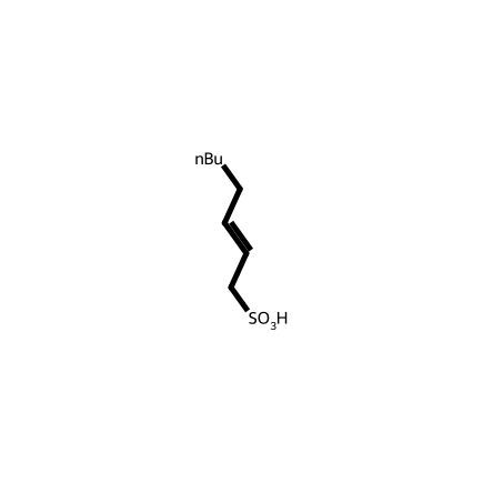 CCCCCC=CCS(=O)(=O)O